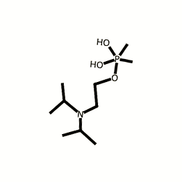 CC(C)N(CCOP(C)(C)(O)O)C(C)C